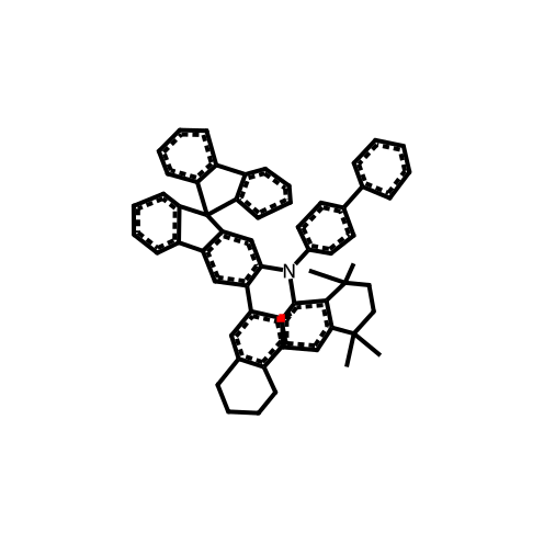 Cc1cc2c(cc1-c1cc3c(cc1N(c1ccc(-c4ccccc4)cc1)c1cccc4c1C(C)(C)CCC4(C)C)C1(c4ccccc4-c4ccccc41)c1ccccc1-3)CCCC2